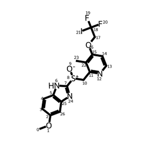 COc1ccc2[nH]c([S+]([O-])Cc3nccc(OCC(F)(F)I)c3C)nc2c1